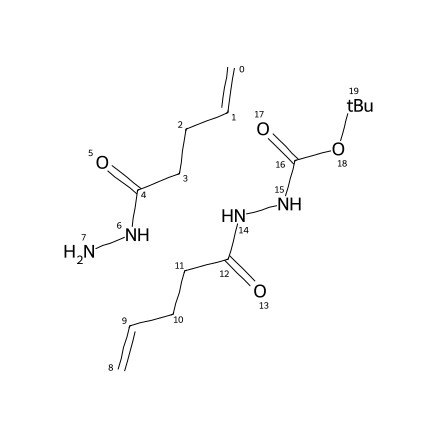 C=CCCC(=O)NN.C=CCCC(=O)NNC(=O)OC(C)(C)C